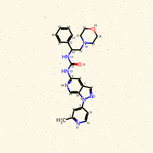 Cc1cc(-n2ncc3cc(NC(=O)NC(CN4CCOCC4)c4ccccc4)ncc32)ccn1